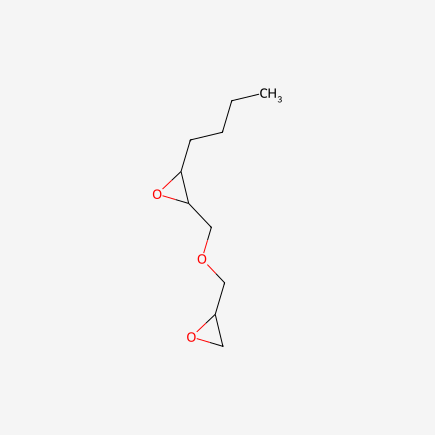 CCCCC1OC1COCC1CO1